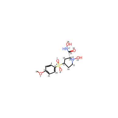 COc1ccc(S(=O)(=O)C2CCN(O)[C@@H](C(=O)NO)C2)cc1